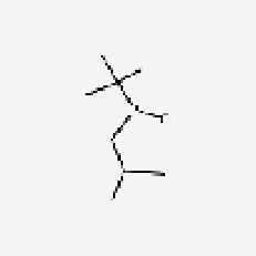 CC(C)CP(Cl)C(C)(C)C